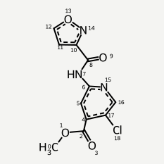 COC(=O)c1cc(NC(=O)c2ccon2)ncc1Cl